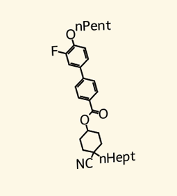 CCCCCCCC1(C#N)CCC(OC(=O)c2ccc(-c3ccc(OCCCCC)c(F)c3)cc2)CC1